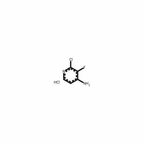 Cl.Nc1ccnc(Cl)c1F